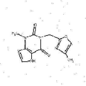 Cc1noc(Cn2c(=O)c3[nH]cnc3n(C)c2=O)n1